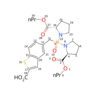 CCCOC(=O)[C@@H]1CCCN1P(=O)(Cc1ccc2sc(C(=O)O)cc2c1)N1CCC[C@H]1C(=O)OCCC